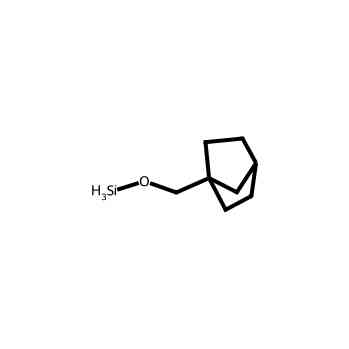 [SiH3]OCC12CCC(CC1)C2